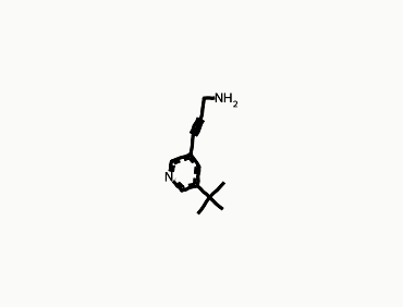 CC(C)(C)c1cncc(C#CCN)c1